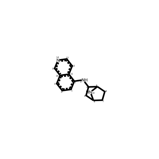 c1cc(NC2CC3CCC2N3)c2ccncc2c1